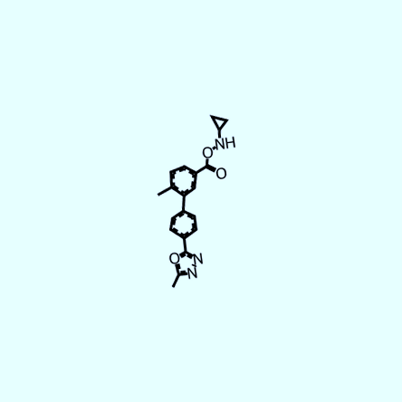 Cc1nnc(-c2ccc(-c3cc(C(=O)ONC4CC4)ccc3C)cc2)o1